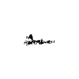 Cc1c(COc2cc(OCc3cncc(C#N)c3)c(CNC(C)(CO)C(=O)O)cc2Cl)cccc1-c1cccc(OCCCN2CC[C@@H](O)C2)c1C#N